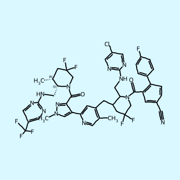 Cc1cnc(-c2cn(C)nc2C(=O)N2CC(F)(F)C[C@@H](C)[C@H]2CNc2ncc(C(F)(F)F)cn2)cc1CC1CC(F)(F)CN(C(=O)c2cc(C#N)ccc2-c2ccc(F)cc2)C1CNc1ncc(Cl)cn1